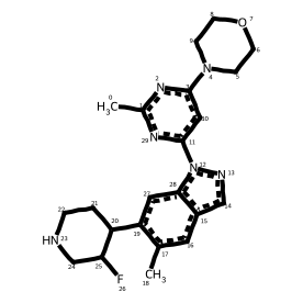 Cc1nc(N2CCOCC2)cc(-n2ncc3cc(C)c(C4CCNCC4F)cc32)n1